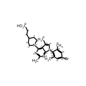 Cc1nc(N2CCC(CCC(=O)O)CC2)c2c(C)cn(-c3c(C)cc(Br)cc3C)c2n1